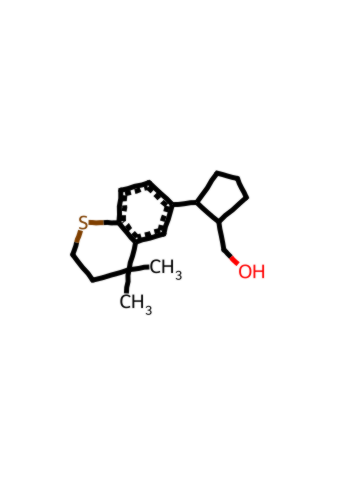 CC1(C)CCSc2ccc(C3CCCC3CO)cc21